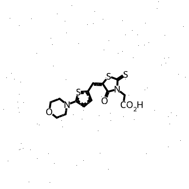 O=C(O)CN1C(=O)/C(=C\c2ccc(N3CCOCC3)s2)SC1=S